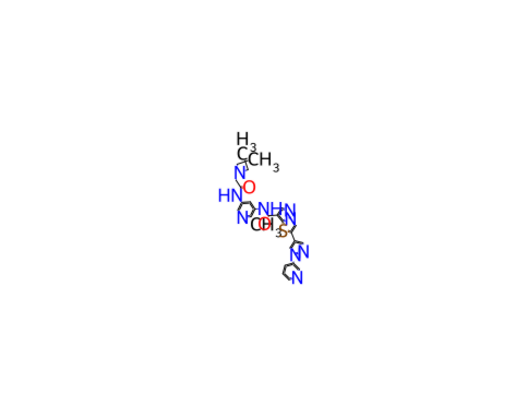 Cc1ncc(NC(=O)CN2CC(C)(C)C2)cc1NC(=O)c1cnn2cc(-c3cnn(-c4cccnc4)c3)sc12